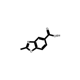 COC(=O)c1ccc2oc(C)nc2c1